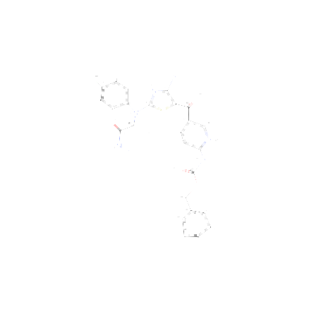 C[C@H](C(N)=O)N(c1ccc(F)cc1)c1nc(N)c(C(=O)c2ccc(NC(=O)OCc3ccccc3)nc2)s1